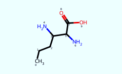 CCCC(N)C(N)C(=O)O